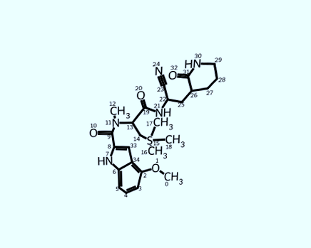 COc1cccc2[nH]c(C(=O)N(C)C(CS(C)(C)C)C(=O)NC(C#N)CC3CCCNC3=O)cc12